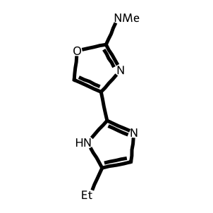 CCc1cnc(-c2coc(NC)n2)[nH]1